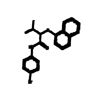 CC(C)C(Oc1cccc2ccccc12)C(=O)Nc1ccc(Br)cc1